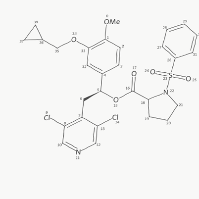 COc1ccc([C@H](Cc2c(Cl)cncc2Cl)OC(=O)C2CCCN2S(=O)(=O)c2ccccc2)cc1OCC1CC1